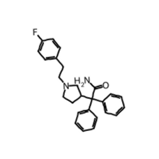 NC(=O)C(c1ccccc1)(c1ccccc1)C1CCN(CCc2ccc(F)cc2)C1